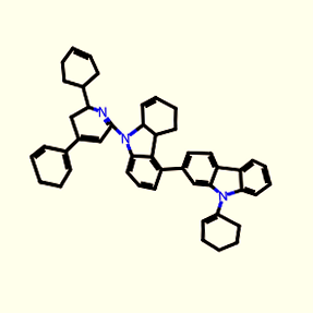 C1=CC(C2=CC(N3c4cccc(-c5ccc6c7ccccc7n(C7=CCCCC7)c6c5)c4C4CCC=CC43)=NC(C3CC=CCC3)C2)=CCC1